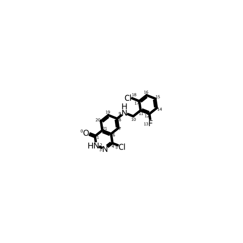 O=c1[nH]nc(Cl)c2cc(NCc3c(F)cccc3Cl)ccc12